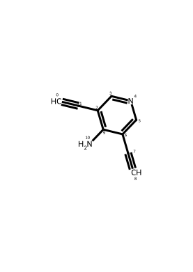 C#Cc1cncc(C#C)c1N